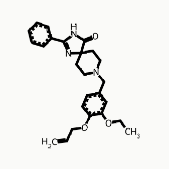 C=CCOc1ccc(CN2CCC3(CC2)N=C(c2ccccc2)NC3=O)cc1OCC